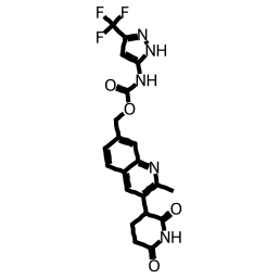 Cc1nc2cc(COC(=O)Nc3cc(C(F)(F)F)n[nH]3)ccc2cc1C1CCC(=O)NC1=O